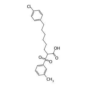 Cc1cccc(S(=O)(=O)C(CCCCCCc2ccc(Cl)cc2)C(=O)O)c1